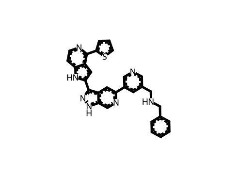 c1ccc(CNCc2cncc(-c3cc4c(-c5cc6c(-c7cccs7)nccc6[nH]5)n[nH]c4cn3)c2)cc1